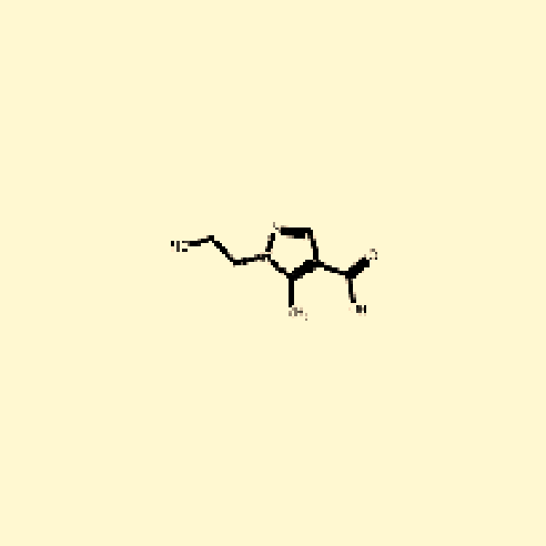 Cc1c(C(=O)O)cnn1CCO